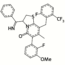 COc1cccc(-c2c(C)c(Cc3c(F)cccc3C(F)(F)F)c3n(c2=O)C(C(=N)c2ccccc2)CS3)c1F